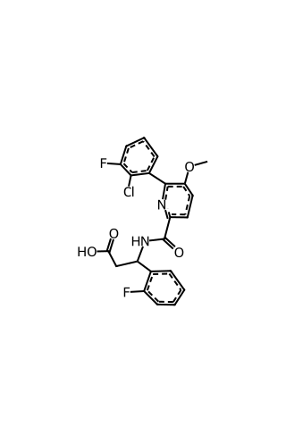 COc1ccc(C(=O)NC(CC(=O)O)c2ccccc2F)nc1-c1cccc(F)c1Cl